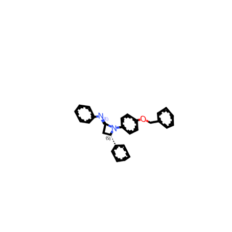 c1ccc(COc2ccc(N3/C(=N/c4ccccc4)C[C@H]3c3ccccc3)cc2)cc1